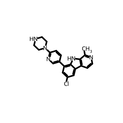 Cc1nccc2c1[nH]c1c(-c3ccc(N4CCNCC4)nc3)cc(Cl)cc12